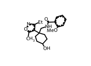 CCc1noc(C)c1C1(CNC(=O)c2ccccc2OC)CCC(O)CC1